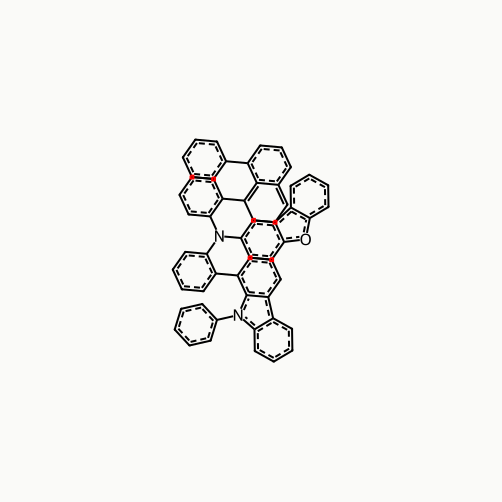 C1=c2cccc(-c3ccccc3)c2=C(c2ccccc2N(c2ccc3oc4ccccc4c3c2)c2ccccc2-c2cccc3c4ccccc4n(-c4ccccc4)c23)CC1